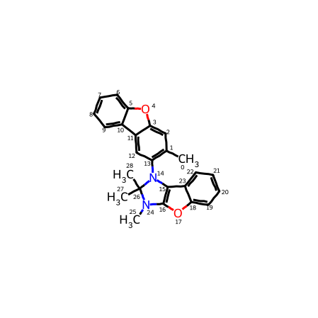 Cc1cc2oc3ccccc3c2cc1N1c2c(oc3ccccc23)N(C)C1(C)C